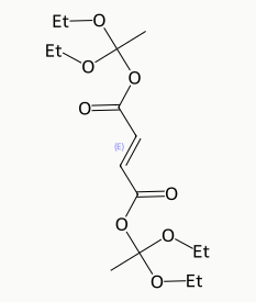 CCOC(C)(OCC)OC(=O)/C=C/C(=O)OC(C)(OCC)OCC